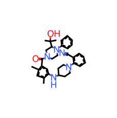 Cc1cc(C)c(C(=O)N2CCN(c3ccccc3)C(C(C)(C)O)C2)cc1NC1CCN(c2ccccc2C#N)CC1